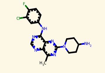 Cc1nc(N2CCC(N)CC2)nc2c(Nc3ccc(F)c(Cl)c3)ncnc12